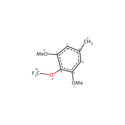 COc1cc(C)cc(OC)c1OC(F)(F)F